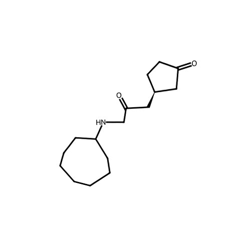 O=C1CC[C@H](CC(=O)CNC2CCCCCCC2)C1